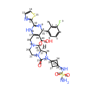 Cc1c(F)cccc1[C@@H]1N=C(c2nccs2)NC(CN2CCN3C(=O)N(C45CC(NS(N)(=O)=O)(C4)C5)C[C@@H]3C2)=C1C(=O)O